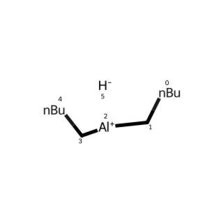 CCCC[CH2][Al+][CH2]CCCC.[H-]